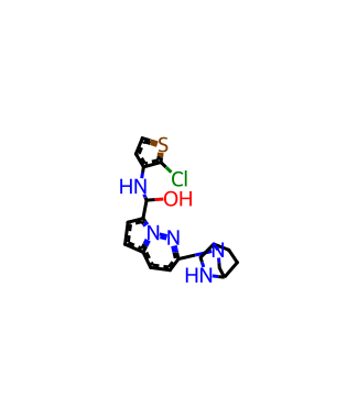 OC(Nc1ccsc1Cl)c1ccc2ccc(N3CC4CCC3CN4)nn12